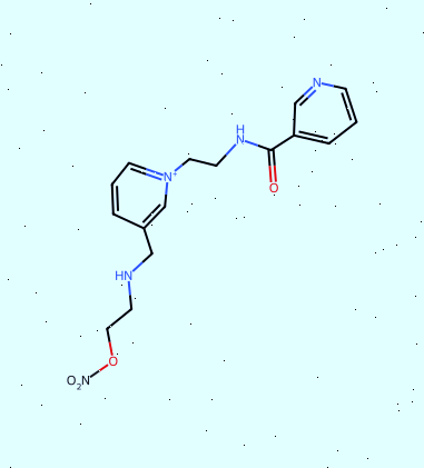 O=C(NCC[n+]1cccc(CNCCO[N+](=O)[O-])c1)c1cccnc1